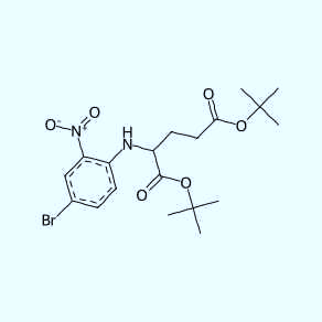 CC(C)(C)OC(=O)CCC(Nc1ccc(Br)cc1[N+](=O)[O-])C(=O)OC(C)(C)C